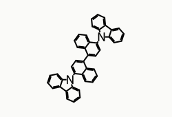 c1ccc2c(-n3c4ccccc4c4ccccc43)ccc(-c3ccc(-n4c5ccccc5c5ccccc54)c4ccccc34)c2c1